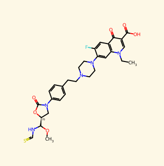 CCn1cc(C(=O)O)c(=O)c2cc(F)c(N3CCN(CCc4ccc(N5C[C@@H](C(NC=S)OC)OC5=O)cc4)CC3)cc21